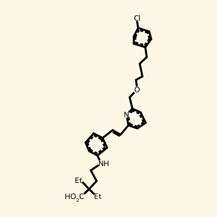 CCC(CC)(CCNc1cccc(C=Cc2cccc(COCCCCc3ccc(Cl)cc3)n2)c1)C(=O)O